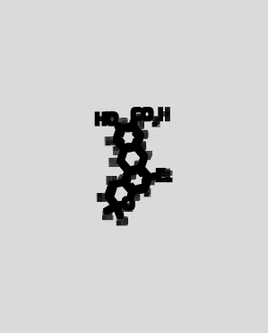 CCc1cc2c(c3c1Cc1cc(C(=O)O)c(O)cc1C3)C=CC(C)(C)O2